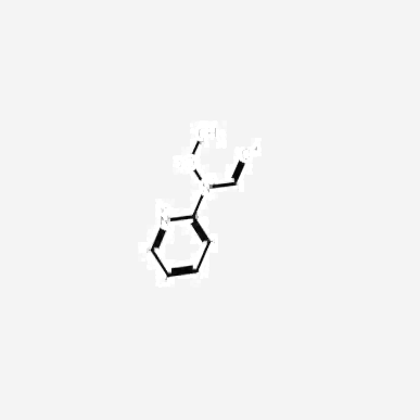 CON([C]=O)c1ccccn1